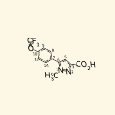 Cn1nc(C(=O)O)cc1-c1ccc(OC(F)(F)F)cc1